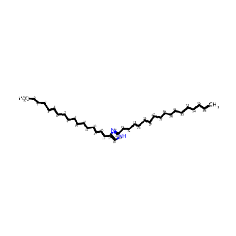 CCCCCCCCCCCCCCCCCc1c[nH]c(CCCCCCCCCCCCCCCCC)n1